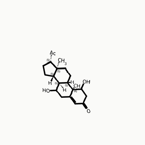 CC(=O)[C@H]1CC[C@H]2[C@@H]3C(O)CC4=CC(=O)CC(O)[C@]4(C)[C@H]3CC[C@]12C